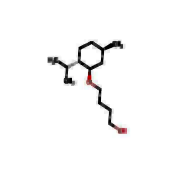 CC(C)[C@@H]1CC[C@@H](C)C[C@H]1OCCCCO